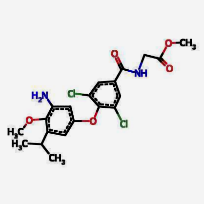 COC(=O)CNC(=O)c1cc(Cl)c(Oc2cc(N)c(OC)c(C(C)C)c2)c(Cl)c1